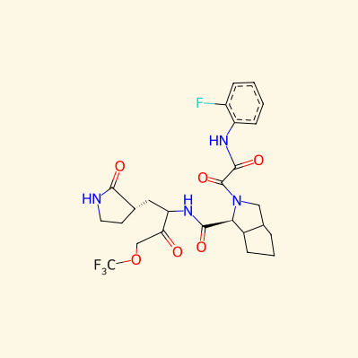 O=C(Nc1ccccc1F)C(=O)N1CC2CCCC2[C@H]1C(=O)NC(C[C@@H]1CCNC1=O)C(=O)COC(F)(F)F